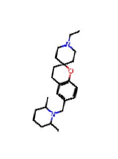 CCN1CCC2(CCc3cc(CN4C(C)CCCC4C)ccc3O2)CC1